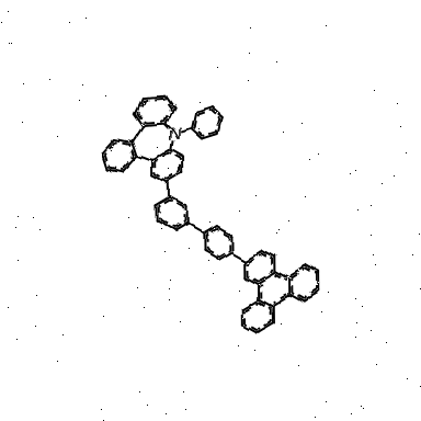 c1ccc(N2c3ccccc3-c3ccccc3-c3cc(-c4cccc(-c5ccc(-c6ccc7c8ccccc8c8ccccc8c7c6)cc5)c4)ccc32)cc1